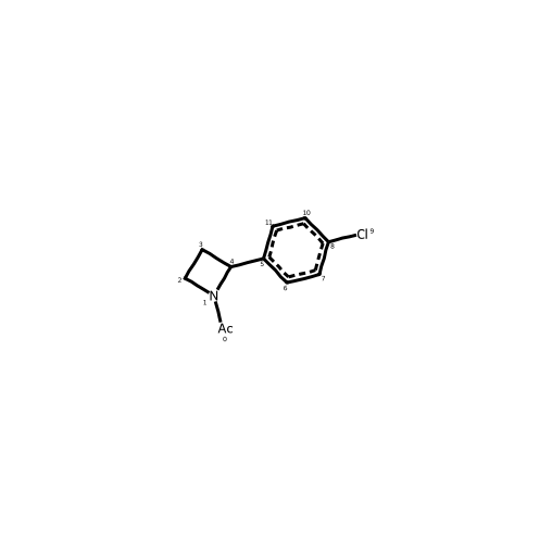 CC(=O)N1CCC1c1ccc(Cl)cc1